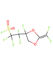 O=S(=O)(F)C(F)(F)C(F)(F)C1(F)COC(=C(F)F)O1